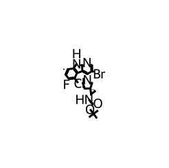 CC(C)(C)OC(=O)N[C@@H]1C[C@@]12CCN(c1c(Br)cnc3[nH]c4[c]cc(F)c(Cl)c4c13)C2